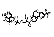 CC(C)(COCC(O)C(=O)N1CCN2c3ncc(C(F)(F)F)cc3OCC[C@H]2C1)SNc1cn[nH]c(=O)c1C(F)(F)F